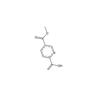 C=C(O)c1ccc(C(=O)OC)cn1